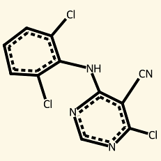 N#Cc1c(Cl)ncnc1Nc1c(Cl)cccc1Cl